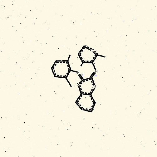 Cc1cccc(C)c1/N=c1\sc2ccccc2s\c1=N\c1c(C)cccc1C